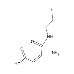 CCCNC(=O)/C=C\C(=O)O.N